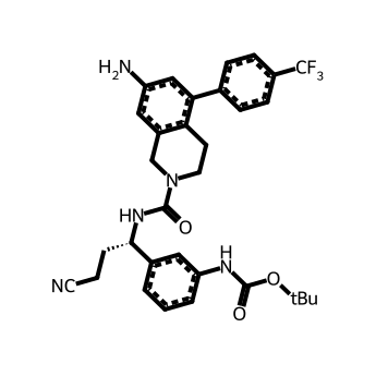 CC(C)(C)OC(=O)Nc1cccc([C@H](CCC#N)NC(=O)N2CCc3c(cc(N)cc3-c3ccc(C(F)(F)F)cc3)C2)c1